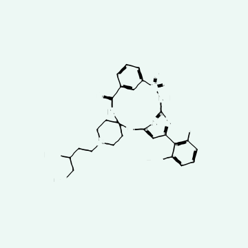 Cc1cccc(C)c1-c1cc2nc(n1)NS(=O)(=O)c1cccc(c1)C(=O)NC1(CCN(CCC(C)CC(C)(C)C)CC1)O2